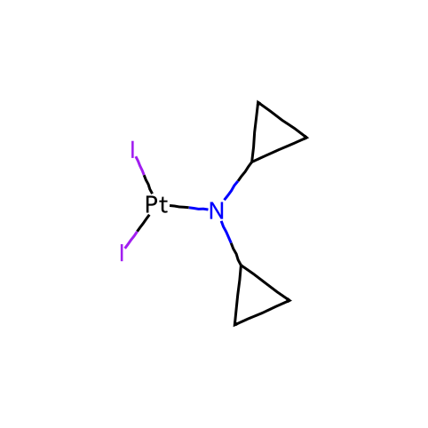 [I][Pt]([I])[N](C1CC1)C1CC1